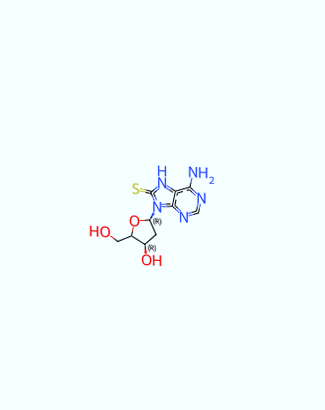 Nc1ncnc2c1[nH]c(=S)n2[C@H]1C[C@@H](O)C(CO)O1